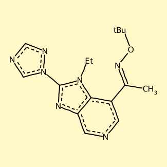 CCn1c(-n2cncn2)nc2cncc(C(C)=NOC(C)(C)C)c21